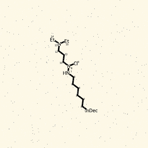 CCCCCCCCCCCCCCCCNN(Cl)CCCN(CC)CC